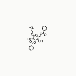 C[Si](C)(C)CCO[C@@H]1OC(COC(=O)c2ccccc2)[C@H](O)C(OC(=O)c2ccccc2)[C@@H]1O